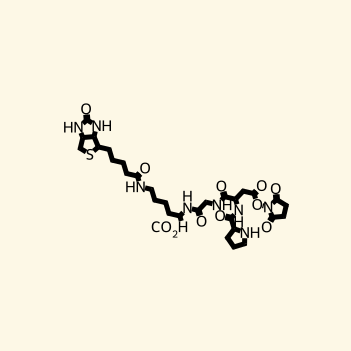 O=C(CCCCC1SCC2NC(=O)NC21)NCCCCC(NC(=O)CNC(=O)C(CC(=O)ON1C(=O)CCC1=O)NC(=O)C1CCCN1)C(=O)O